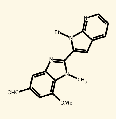 CCn1c(-c2nc3cc(C=O)cc(OC)c3n2C)cc2cccnc21